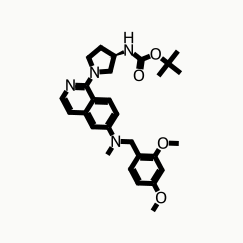 COc1ccc(CN(C)c2ccc3c(N4CC[C@@H](NC(=O)OC(C)(C)C)C4)nccc3c2)c(OC)c1